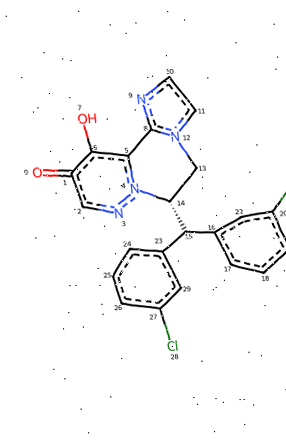 O=c1cnn2c(c1O)-c1nccn1C[C@@H]2C(c1cccc(Cl)c1)c1cccc(Cl)c1